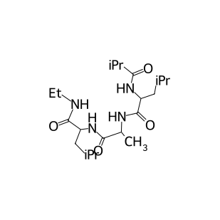 CCNC(=O)C(CC(C)C)NC(=O)C(C)NC(=O)C(CC(C)C)NC(=O)C(C)C